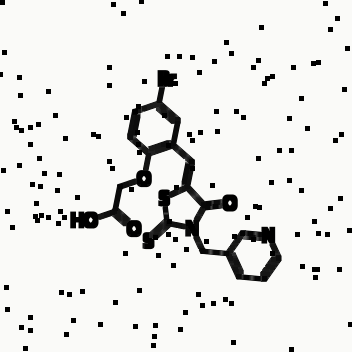 O=C(O)COc1ccc(Br)cc1/C=C1\SC(=S)N(Cc2cccnc2)C1=O